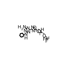 C[C@@]12CN(c3nc(-c4nc(N)nc(Nc5ccccc5)n4)no3)C[C@@H]1[C@H]2COCC(F)(F)F